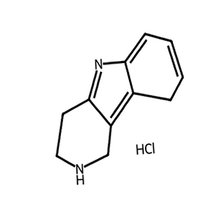 C1=CCC2=C3CNCCC3=NC2=C1.Cl